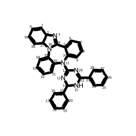 C1=CC2N=C3c4ccccc4N(C4=NC(c5ccccc5)NC(c5ccccc5)=N4)c4ccccc4N3C2C=C1